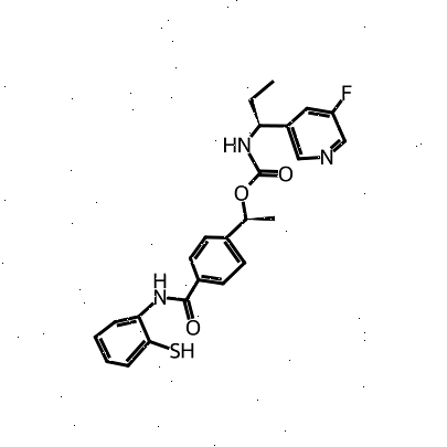 CC[C@H](NC(=O)O[C@@H](C)c1ccc(C(=O)Nc2ccccc2S)cc1)c1cncc(F)c1